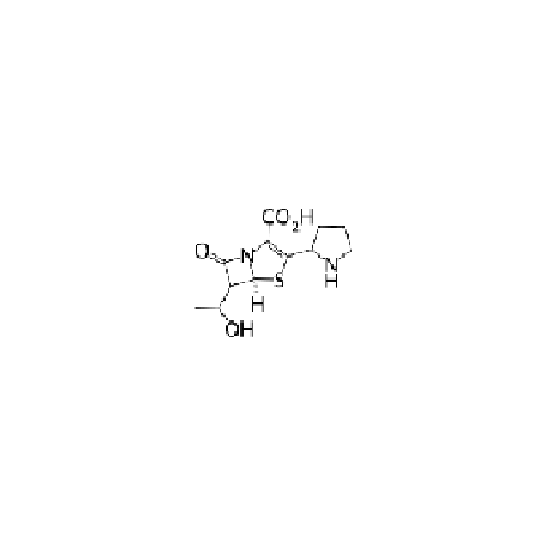 CC(O)C1C(=O)N2C(C(=O)O)=C(C3CCCN3)S[C@@H]12